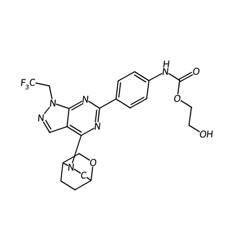 O=C(Nc1ccc(-c2nc(N3CC4CCC3CO4)c3cnn(CC(F)(F)F)c3n2)cc1)OCCO